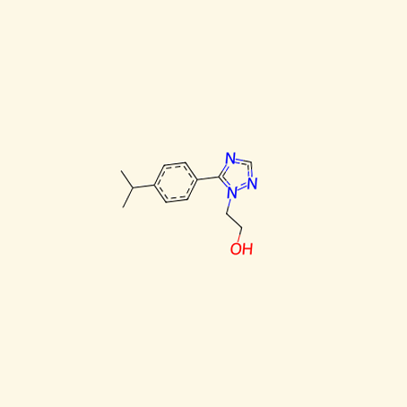 CC(C)c1ccc(-c2ncnn2CCO)cc1